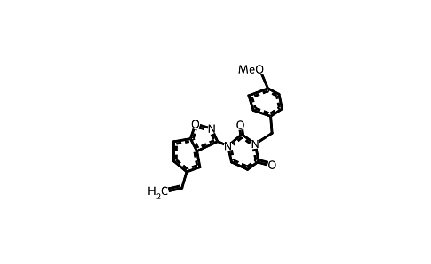 C=Cc1ccc2onc(-n3ccc(=O)n(Cc4ccc(OC)cc4)c3=O)c2c1